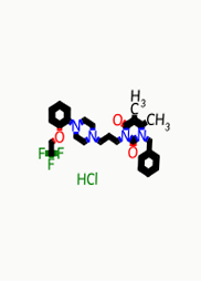 Cc1c(C)n(Cc2ccccc2)c(=O)n(CCCN2CCN(c3ccccc3OCC(F)(F)F)CC2)c1=O.Cl